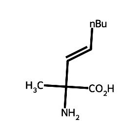 CCCCC=CC(C)(N)C(=O)O